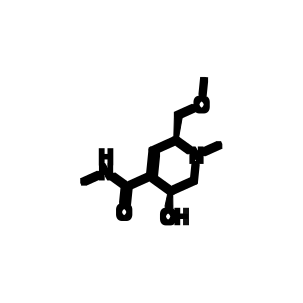 CNC(=O)C1=C[C@@H](COC)N(C)C[C@H]1O